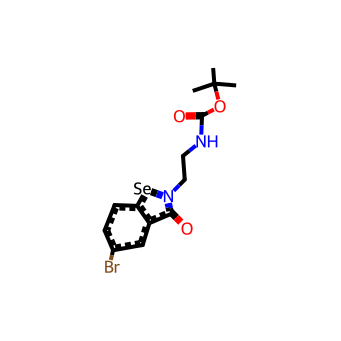 CC(C)(C)OC(=O)NCCn1[se]c2ccc(Br)cc2c1=O